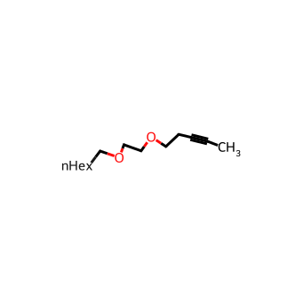 CC#CCCOCCOCCCCCCC